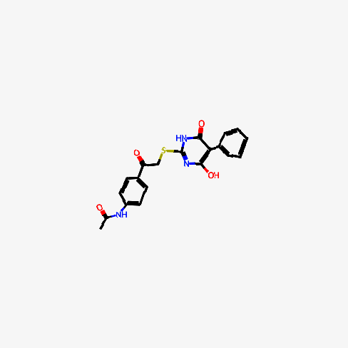 CC(=O)Nc1ccc(C(=O)CSc2nc(O)c(-c3ccccc3)c(=O)[nH]2)cc1